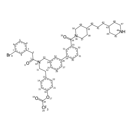 O=C(Cc1cccc(Br)c1)N(CCc1ccc(OC(=O)C(F)(F)F)cc1)Cc1cccc(-c2cccc(C(=O)N3CCC(CCCC4CCNCC4)CC3)c2)c1